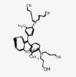 Cc1cc(C(c2ccc(N(CCCC#N)CCCC#N)c(C)c2)c2ccccc2S(=O)(=O)O)ccc1N(CCCC#N)CCCC#N